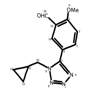 COc1ccc(-c2nnnn2CC2CC2)cc1C=O